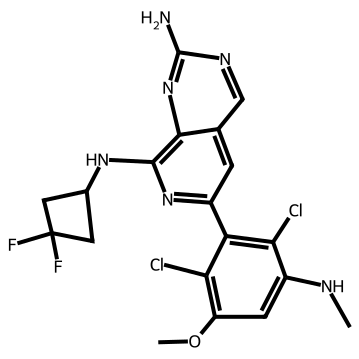 CNc1cc(OC)c(Cl)c(-c2cc3cnc(N)nc3c(NC3CC(F)(F)C3)n2)c1Cl